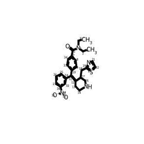 CCN(CC)C(=O)c1ccc(C(=C2CCNCC2Cc2nccs2)c2cccc([N+](=O)[O-])c2)cc1